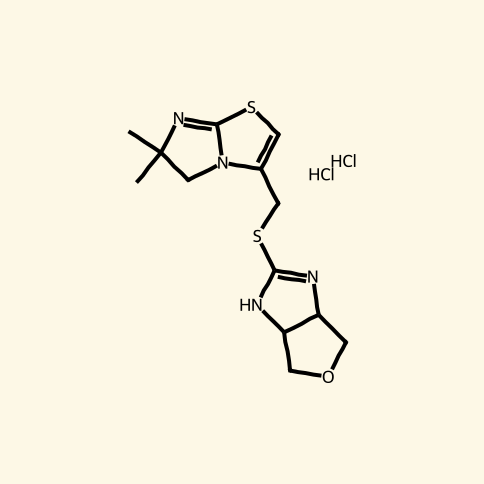 CC1(C)CN2C(CSC3=NC4COCC4N3)=CSC2=N1.Cl.Cl